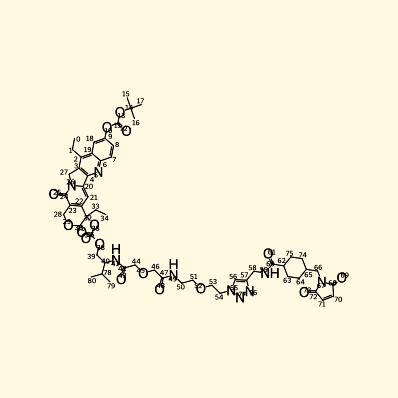 CCc1c2c(nc3ccc(OC(=O)OC(C)(C)C)cc13)-c1cc3c(c(=O)n1C2)COC(=O)C3(CC)OC(=O)OCC(NC(=O)COCC(=O)NCCOCCn1cc(CNC(=O)C2CCC(CN3C(=O)C=CC3=O)CC2)nn1)C(C)C